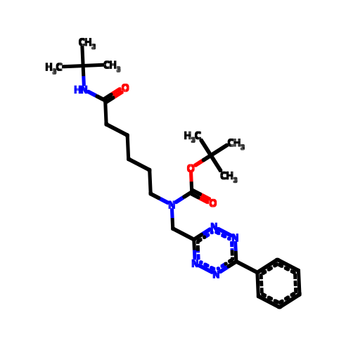 CC(C)(C)NC(=O)CCCCCN(Cc1nnc(-c2ccccc2)nn1)C(=O)OC(C)(C)C